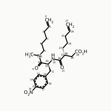 C=CCCCCN(C)C(=O)[C@H](Cc1ccc([N+](=O)[O-])cc1)NC(=O)[C@H](CCCC=C)CC(=O)O